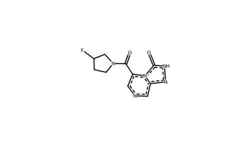 O=C(c1cncc2n[nH]c(=O)n12)N1CCC(F)C1